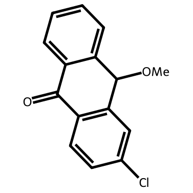 COC1c2ccccc2C(=O)c2ccc(Cl)cc21